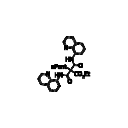 CCCCCC(C(=O)Nc1cccc2cccnc12)(C(=O)Nc1cccc2cccnc12)C(=O)OCC